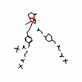 C[C@@H]1CC[C@@]23CCC(=O)C2[C@]1(C)[C@H](OC(=O)CSC1CCC(CNC(=O)CNC(=O)OC(C)(C)C)CC1)C[C@](C)(CCc1ccc(CN(CCNC(=O)OC(C)(C)C)C(=O)OC(C)(C)C)cc1)C(O)[C@@H]3C